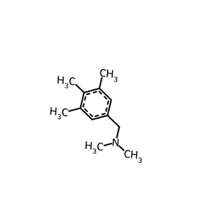 Cc1cc(CN(C)C)cc(C)c1C